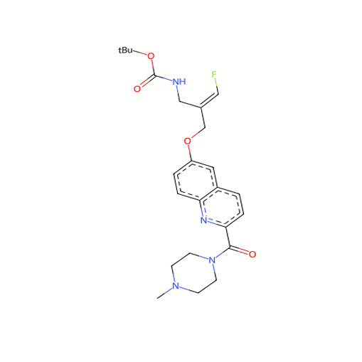 CN1CCN(C(=O)c2ccc3cc(OC/C(=C/F)CNC(=O)OC(C)(C)C)ccc3n2)CC1